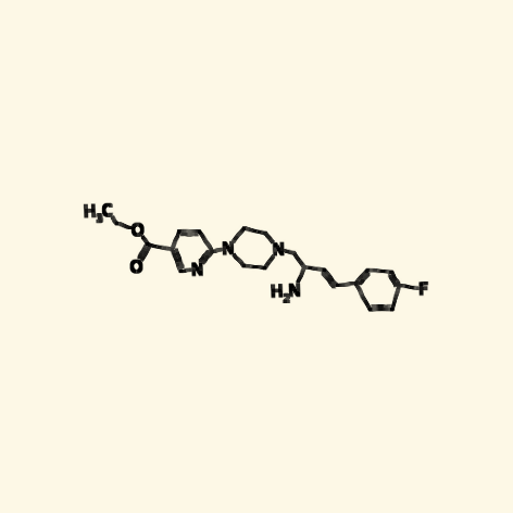 CCOC(=O)c1ccc(N2CCN(CC(N)/C=C/c3ccc(F)cc3)CC2)nc1